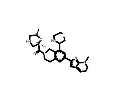 C[C@@H]1CNC[C@](C)(C(=O)N2CCc3cc(C4=CC5=CCCN(C)C5=N4)cc(C4COCCN4)c3C2)O1